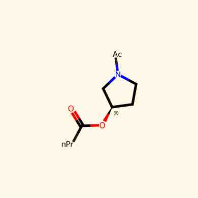 CCCC(=O)O[C@@H]1CCN(C(C)=O)C1